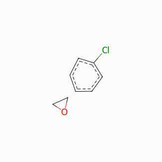 C1CO1.Clc1ccccc1